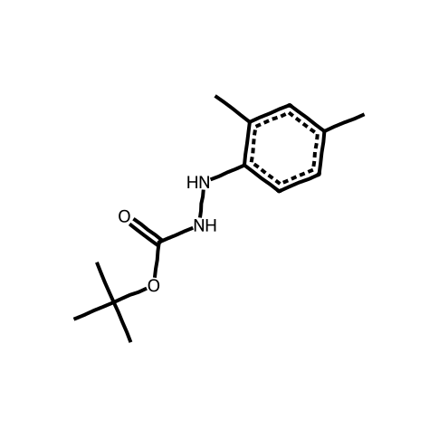 Cc1ccc(NNC(=O)OC(C)(C)C)c(C)c1